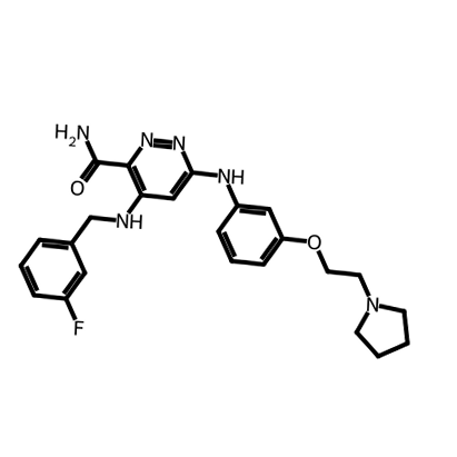 NC(=O)c1nnc(Nc2cccc(OCCN3CCCC3)c2)cc1NCc1cccc(F)c1